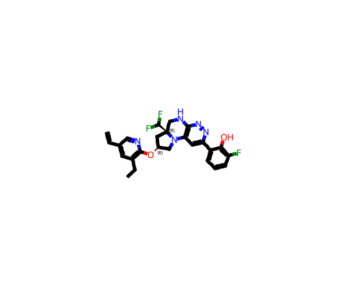 C=Cc1cnc(O[C@H]2CN3c4cc(-c5cccc(F)c5O)nnc4NC[C@@]3(C(F)F)C2)c(CC)c1